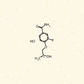 C[C@H](O)COc1ccc(C(N)=O)cc1F.Cl